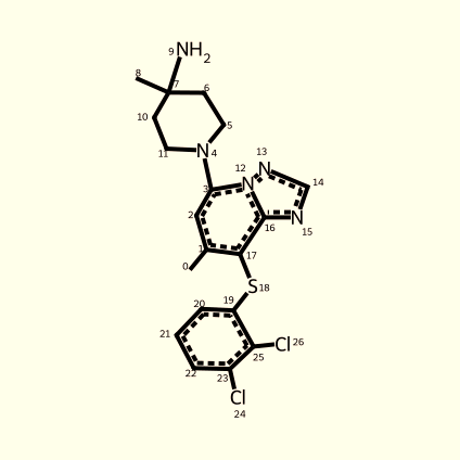 Cc1cc(N2CCC(C)(N)CC2)n2ncnc2c1Sc1cccc(Cl)c1Cl